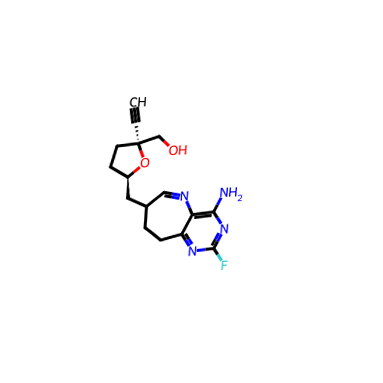 C#C[C@@]1(CO)CC[C@H](CC2C=Nc3c(N)nc(F)nc3CC2)O1